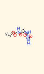 COC(=O)CCNC(=O)c1cccc(NC(=O)CN2CCNCC2=O)c1